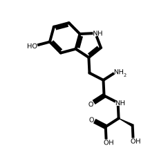 NC(Cc1c[nH]c2ccc(O)cc12)C(=O)N[C@@H](CO)C(=O)O